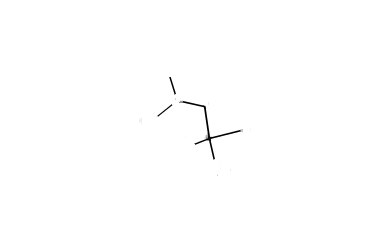 CCN([C]=O)CC(C)(C)CC